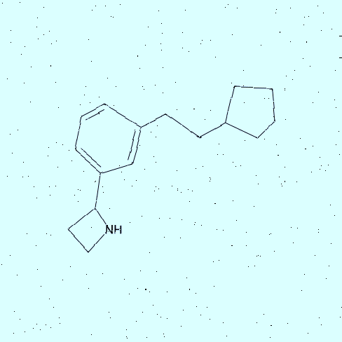 c1cc(CCC2CCCC2)cc(C2CCN2)c1